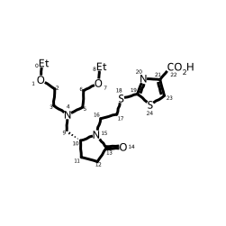 CCOCCN(CCOCC)C[C@H]1CCC(=O)N1CCSc1nc(C(=O)O)cs1